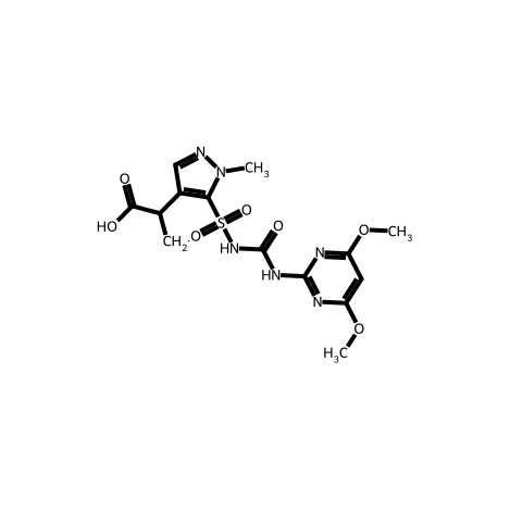 [CH2]C(C(=O)O)c1cnn(C)c1S(=O)(=O)NC(=O)Nc1nc(OC)cc(OC)n1